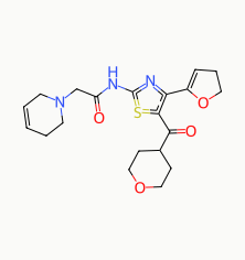 O=C(CN1CC=CCC1)Nc1nc(C2=CCCO2)c(C(=O)C2CCOCC2)s1